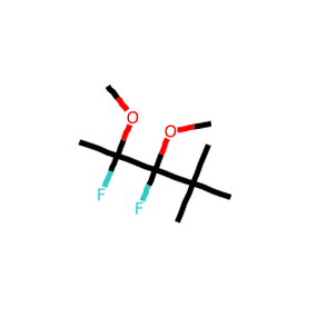 COC(C)(F)C(F)(OC)C(C)(C)C